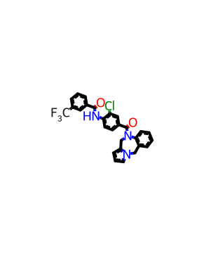 O=C(Nc1ccc(C(=O)N2Cc3cccn3Cc3ccccc32)cc1Cl)c1cccc(C(F)(F)F)c1